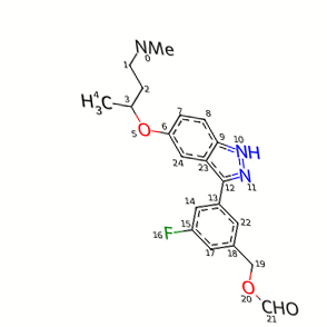 CNCCC(C)Oc1ccc2[nH]nc(-c3cc(F)cc(COC=O)c3)c2c1